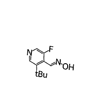 CC(C)(C)c1cncc(F)c1/C=N/O